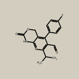 CC(C)c1nc2c(c(-c3ccc(F)cc3)c1C=O)COC(=O)N2